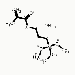 C=C(C)C(=O)OCCC[Si](OC)(OC)OC.N